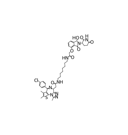 Cc1sc2c(c1C)C(c1ccc(Cl)cc1)=NC(CC(=O)NCCCCCCCCNC(=O)COc1cccc3c1C(=O)N(C1CCC(=O)NC1=O)C3O)c1nnc(C)n1-2